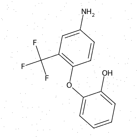 Nc1ccc(Oc2ccccc2O)c(C(F)(F)F)c1